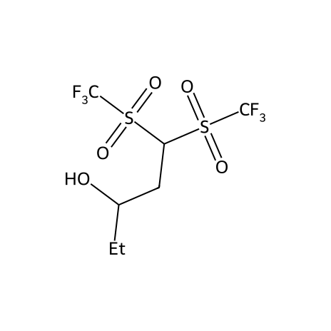 CCC(O)CC(S(=O)(=O)C(F)(F)F)S(=O)(=O)C(F)(F)F